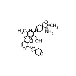 Cc1nc(N2CCC3(CC2)CO[C@@H](C)[C@H]3N)c(CO)nc1Sc1ccnc(N2CC3(CCOCC3)C2)c1Cl